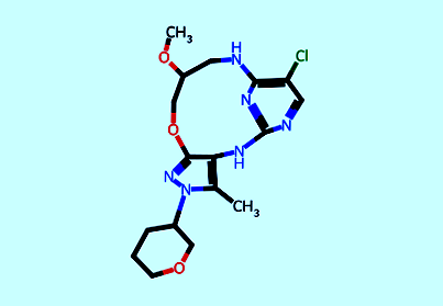 COC1CNc2nc(ncc2Cl)Nc2c(nn(C3CCCOC3)c2C)OC1